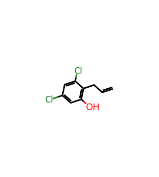 C=CCc1c(O)cc(Cl)cc1Cl